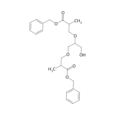 CC(COCC(CO)OCC(C)C(=O)OCc1ccccc1)C(=O)OCc1ccccc1